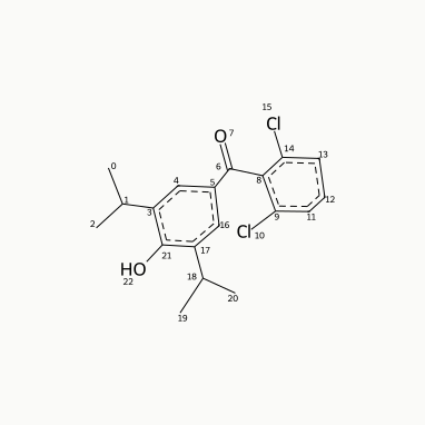 CC(C)c1cc(C(=O)c2c(Cl)cccc2Cl)cc(C(C)C)c1O